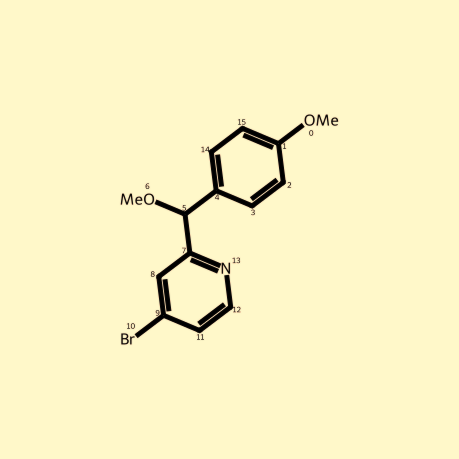 COc1ccc(C(OC)c2cc(Br)ccn2)cc1